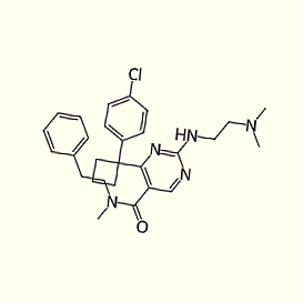 CN(C)CCNc1ncc(C(=O)N(C)CCc2ccccc2)c(C2(c3ccc(Cl)cc3)CCC2)n1